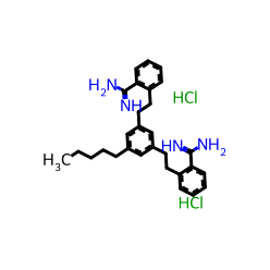 CCCCCc1cc(CCc2ccccc2C(=N)N)cc(CCc2ccccc2C(=N)N)c1.Cl.Cl